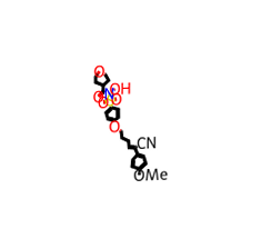 COc1ccc(C(C#N)=CCCCOc2ccc(S(=O)(=O)N(O)C(=O)C3CCOCC3)cc2)cc1